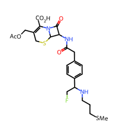 CSCCCNC(CF)c1ccc(CC(=O)NC2C(=O)N3C(C(=O)O)=C(COC(C)=O)CSC23)cc1